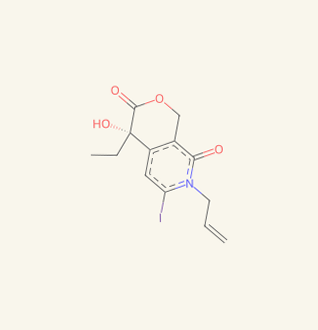 C=CCn1c(I)cc2c(c1=O)COC(=O)[C@]2(O)CC